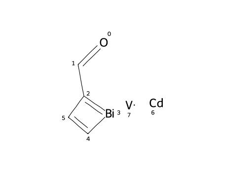 O=C[C]1=[Bi][CH]=C1.[Cd].[V]